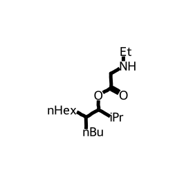 CCCCCCC(CCCC)C(OC(=O)CNCC)C(C)C